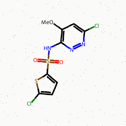 COc1cc(Cl)nnc1NS(=O)(=O)c1ccc(Cl)s1